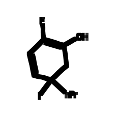 CCCC1(I)C=CC(F)=C(O)C1